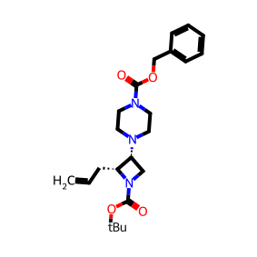 C=CC[C@@H]1[C@H](N2CCN(C(=O)OCc3ccccc3)CC2)CN1C(=O)OC(C)(C)C